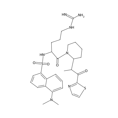 CC(C(=O)c1nccs1)C1CCCCN1C(=O)C(CCCNC(=N)N)NS(=O)(=O)c1cccc2c(N(C)C)cccc12